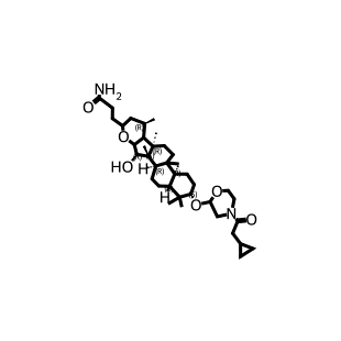 C[C@@H]1CC(CCC(N)=O)OC2C1[C@@]1(C)CCC34C[C@@]35CC[C@H](OC3CN(C(=O)CC6CC6)CCO3)C(C)(C)[C@@H]5CC[C@H]4[C@]1(C)[C@H]2O